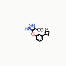 O=C(O)c1nn[nH]c1Oc1cccc(C2CCC2)c1